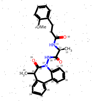 COc1ccccc1CCC(=O)N[C@@H](C)C(=O)NN1C(=O)C(C)c2ccccc2-c2ccccc21